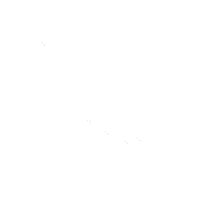 Cc1cc(-c2ccc(N)cc2)ccc1NC(=O)Nc1cc(C(C)(C)C)nn1C